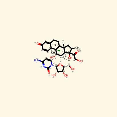 C[C@@H]1C[C@H]2[C@@H]3CCC4=CC(=O)C=C[C@]4(C)[C@@]3(F)[C@@H](O)C[C@]2(C)[C@@]1(O)C(=O)CO.Nc1ccn([C@@H]2O[C@H](CO)[C@@H](O)[C@@H]2O)c(=O)n1